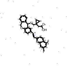 O=C(O)CC1(CSC2c3ccccc3COc3ccc(/C=C/c4ccc5c(F)cc(F)cc5n4)cc32)CC1